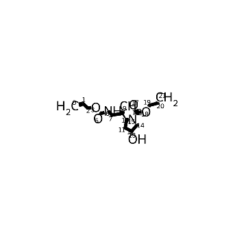 C=CCOC(=O)NCC(=C)[C@@H]1C[C@@H](O)CN1C(=O)OCC=C